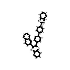 c1ccc2cc(-c3nc4ccccc4nc3-c3ccc(-c4ccc(-c5nc6ccccc6o5)cc4)cc3)ccc2c1